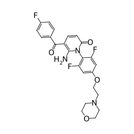 Nc1c(C(=O)c2ccc(F)cc2)ccc(=O)n1-c1c(F)cc(OCCN2CCOCC2)cc1F